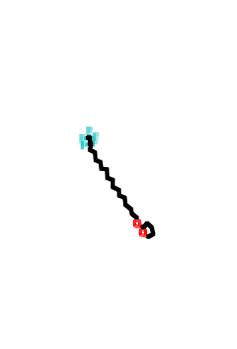 FC(F)(F)C(F)(F)CCCCCCCCCCCCCCCCOC1CCCCO1